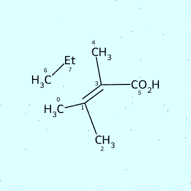 CC(C)=C(C)C(=O)O.CCC